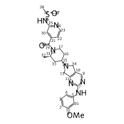 COc1cccc(Nc2ncc3c(n2)CN([C@@H]2CCN(C(=O)c4ccnc(N[S+](C)[O-])c4)[C@H](C)C2)C3)c1